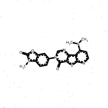 CN(C)c1ccnc2sc3c(=O)n(-c4ccc5c(c4)oc(=O)n5C)cnc3c12